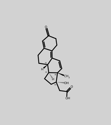 C[C@]12C=CC3=C4CCC(=O)C=C4CC[C@H]3[C@@H]1CC[C@]2(O)CC(=O)O